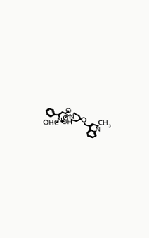 Cc1cc(COC2CCN(S(=O)(=O)CC(c3ccccc3)N(O)C=O)CC2)c2ccccc2n1